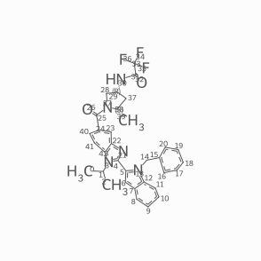 CC(C)n1c(-c2cc3ccccc3n2Cc2ccccc2)nc2cc(C(=O)N3C[C@H](NC(=O)C(F)(F)F)C[C@@H]3C)ccc21